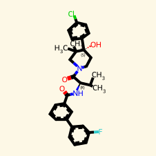 CC(C)[C@@H](NC(=O)c1cccc(-c2cccc(F)c2)c1)C(=O)N1CC[C@](O)(c2ccc(Cl)cc2)C(C)(C)C1